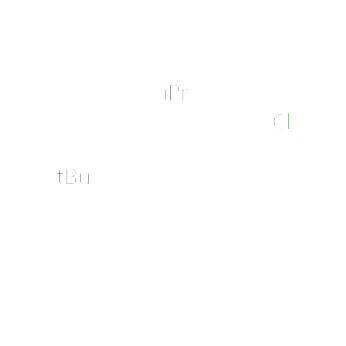 CC(C)c1c(Cl)cccc1C(C)(C)C